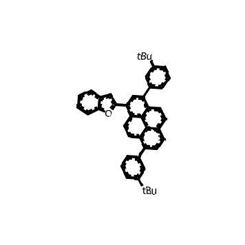 CC(C)(C)c1cccc(-c2ccc3ccc4c(-c5cccc(C(C)(C)C)c5)cc(-c5cc6ccccc6o5)c5ccc2c3c45)c1